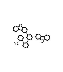 N#Cc1ccccc1-c1ccccc1-c1cc(-c2ccc3c(c2)oc2ccccc23)cc(-c2ccc3oc4ccccc4c3c2)c1